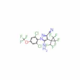 N#Cc1nn(-c2c(Cl)cc(OC(F)(F)F)cc2Cl)c(N)c1C1(C(F)F)C(F)(F)C1(F)F